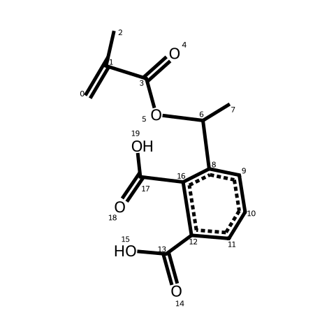 C=C(C)C(=O)OC(C)c1cccc(C(=O)O)c1C(=O)O